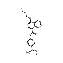 CCCCOc1ccc(C(=O)Oc2ccc(C(O)OC)cc2)c2ccccc12